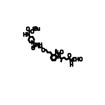 CC(CCC(=O)NC=O)n1c(=O)n(C)c2c(CCCOCCN[S+]([O-])N3CCC(NC(=O)OC(C)(C)C)CC3)cccc21